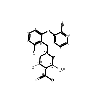 CCc1ncccc1Oc1cccc(F)c1CN1C[C@@H](C)N(C(=O)C(C)C)[C@@H](C(=O)O)C1